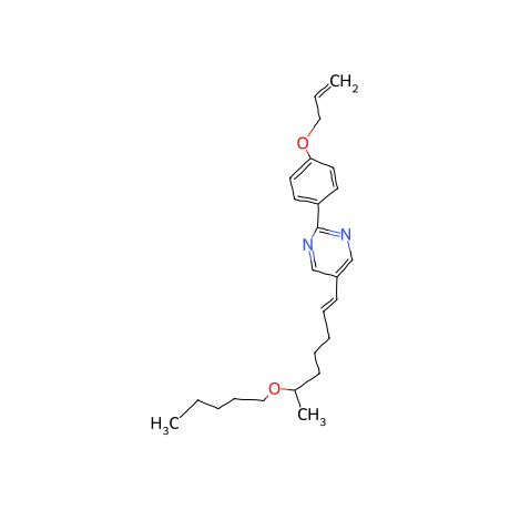 C=CCOc1ccc(-c2ncc(C=CCCCC(C)OCCCCC)cn2)cc1